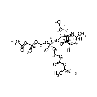 COC[C@@]1(COCP(=O)(OCOC(=O)OC(C)C)OCOC(=O)OC(C)C)C(=O)[C@@H]2CCN1[C@@H](C)C2